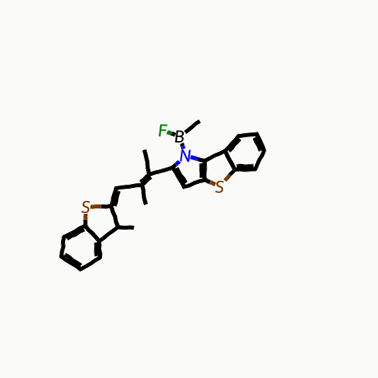 CB(F)n1c(/C(C)=C(C)/C=C2/Sc3ccccc3C2C)cc2sc3ccccc3c21